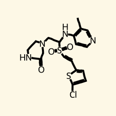 Cc1cnccc1NC(CN1CCNC(=O)C1)S(=O)(=O)C=Cc1ccc(Cl)s1